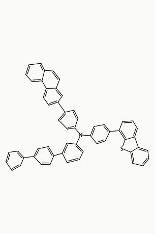 c1ccc(-c2ccc(-c3cccc(N(c4ccc(-c5ccc6c(ccc7ccccc76)c5)cc4)c4ccc(-c5cccc6c5sc5ccccc56)cc4)c3)cc2)cc1